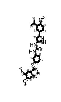 COc1cc2ncnc(Sc3cccc(NC(=O)Nc4cc(-c5ccc(OC)c(C(C)C)c5)n[nH]4)c3)c2cc1OC